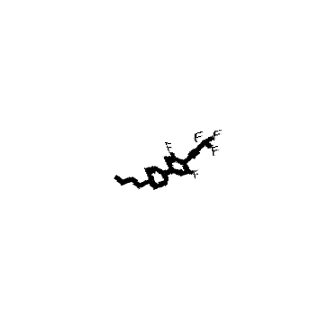 CCCCc1ccc(-c2cc(F)c(C#CC(F)(F)F)c(F)c2)cc1